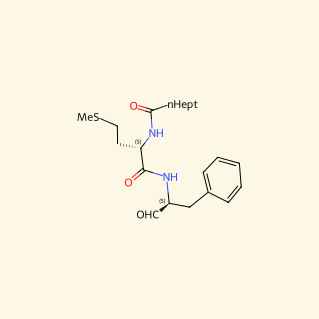 CCCCCCCC(=O)N[C@@H](CCSC)C(=O)N[C@H](C=O)Cc1ccccc1